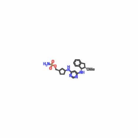 CO[C@H]1Cc2ccccc2[C@H]1Nc1cc(N[C@H]2CC[C@@H](COS(N)(=O)=O)C2)ncn1